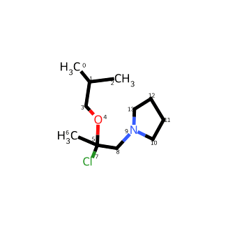 CC(C)COC(C)(Cl)CN1CCCC1